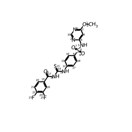 COc1cc(NS(=O)(=O)c2ccc(NC(=S)NC(=O)c3ccc(F)c(F)c3)cc2)ncn1